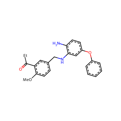 CCC(=O)c1cc(CNc2cc(Oc3ccccc3)ccc2N)ccc1OC